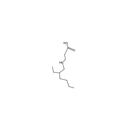 CCCCC(CC)CNCCC(=O)O